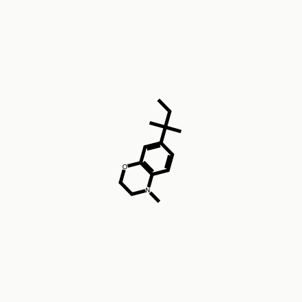 CCC(C)(C)c1ccc2c(c1)OCCN2C